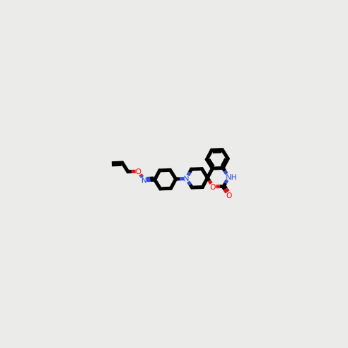 C=CCON=C1CCC(N2CCC3(CC2)OC(=O)Nc2ccccc23)CC1